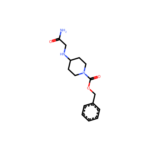 NC(=O)CNC1CCN(C(=O)OCc2ccccc2)CC1